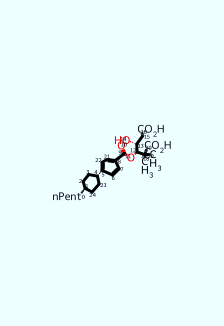 CCCCC[C@H]1CC[C@H](c2ccc(C(=O)O[C@@H]([C@H](O)CC(=O)O)C(C)(C)C(=O)O)cc2)CC1